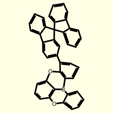 c1ccc2c(c1)Oc1cccc3c1B2c1cccc(-c2ccc4c(c2)C2(c5ccccc5-c5ccccc52)c2ccccc2-4)c1O3